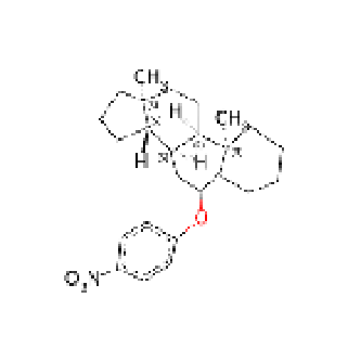 C[C@@]12CCC[C@H]1[C@@H]1CC(Oc3ccc([N+](=O)[O-])cc3)C3CCCC[C@]3(C)[C@@H]1CC2